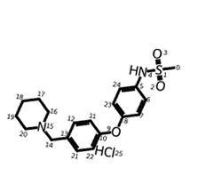 CS(=O)(=O)Nc1ccc(Oc2ccc(CN3CCCCC3)cc2)cc1.Cl